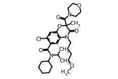 COCCCCN1C(=O)C(C)(C(=O)N2CCOCC2)Oc2cc(Cl)c(C(=O)N(C(C)C)C3CCCCC3)cc21